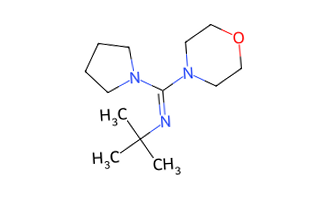 CC(C)(C)N=C(N1CCCC1)N1CCOCC1